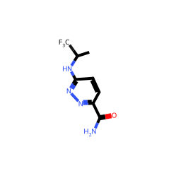 CC(Nc1ccc(C(N)=O)nn1)C(F)(F)F